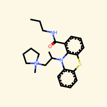 CCCNC(=O)c1cccc2c1N(C(C)C[N+]1(C)CCCC1)c1ccccc1S2